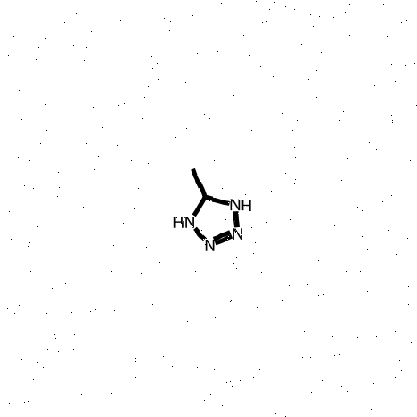 CC1NN=NN1